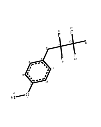 CCOc1ccc([CH]C(F)(F)C(C)(F)F)cc1